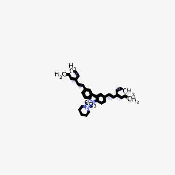 C=C/C=C(\C=C/C)/C=C/c1ccc2c(c1)c1cc(/C=C/C(/C=C\C)=C/C=C)ccc1n2C[N+]1(C)CCCCC1